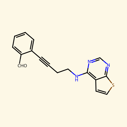 O=Cc1ccccc1C#CCCNc1ncnc2sccc12